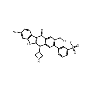 CCOc1cc2c(=O)c3c4ccc(C#N)cc4[nH]c3n(C3CNC3)c2cc1-c1cccc(S(=O)(=O)F)c1